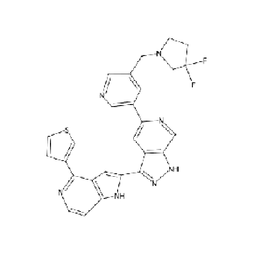 FC1(F)CCN(Cc2cncc(-c3cc4c(-c5cc6c(-c7ccsc7)nccc6[nH]5)n[nH]c4cn3)c2)C1